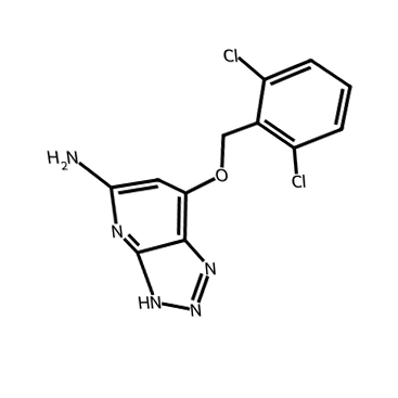 Nc1cc(OCc2c(Cl)cccc2Cl)c2nn[nH]c2n1